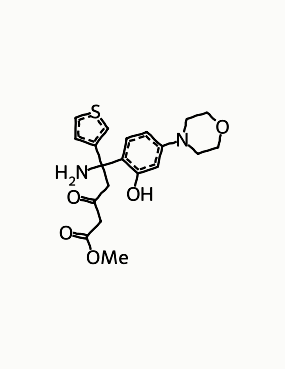 COC(=O)CC(=O)CC(N)(c1ccsc1)c1ccc(N2CCOCC2)cc1O